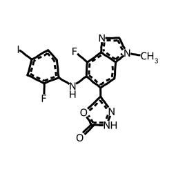 Cn1cnc2c(F)c(Nc3ccc(I)cc3F)c(-c3n[nH]c(=O)o3)cc21